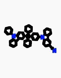 N#Cc1ccc2c(c1)c1ccccc1n2-c1ccc([Si](c2ccccc2)(c2ccccc2)c2ccc3c(c2)c2ccccc2n3-c2ccccc2)cc1